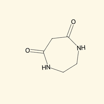 O=C1CC(=O)NCCN1